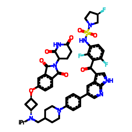 CC(C)N(CC1CCN(c2ccc(-c3cnc4[nH]cc(C(=O)c5c(F)ccc(NS(=O)(=O)N6CC[C@@H](F)C6)c5F)c4c3)cc2)CC1)[C@H]1C[C@H](Oc2ccc3c(c2)C(=O)N(C2CCC(=O)NC2=O)C3=O)C1